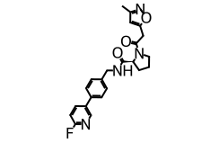 Cc1cc(CC(=O)N2CCC[C@H]2C(=O)NCc2ccc(-c3ccc(F)nc3)cc2)on1